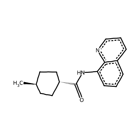 C[C@H]1CC[C@H](C(=O)Nc2cccc3cccnc23)CC1